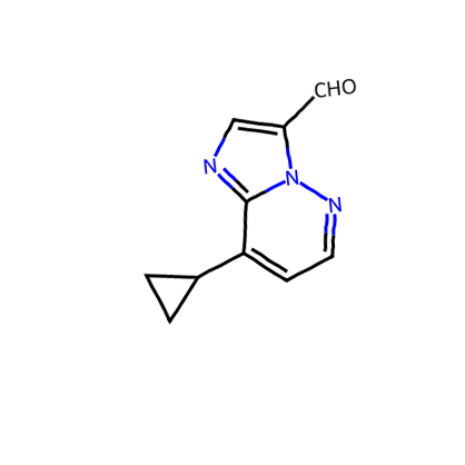 O=Cc1cnc2c(C3CC3)ccnn12